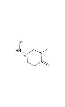 C=C1CC[C@H](NC(C)C)CN1C